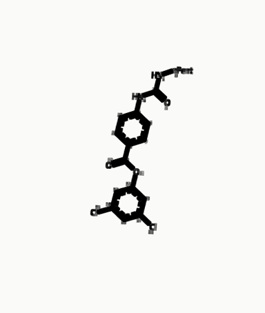 CCCCCNC(=O)Nc1ccc(C(=O)Oc2cc(Cl)cc(Cl)c2)cc1